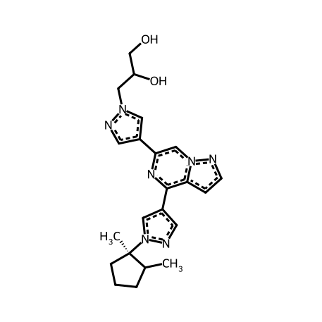 CC1CCC[C@@]1(C)n1cc(-c2nc(-c3cnn(CC(O)CO)c3)cn3nccc23)cn1